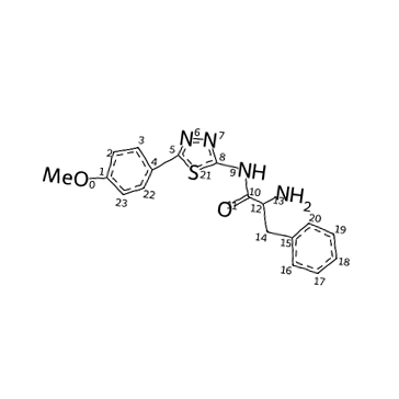 COc1ccc(-c2nnc(NC(=O)C(N)Cc3ccccc3)s2)cc1